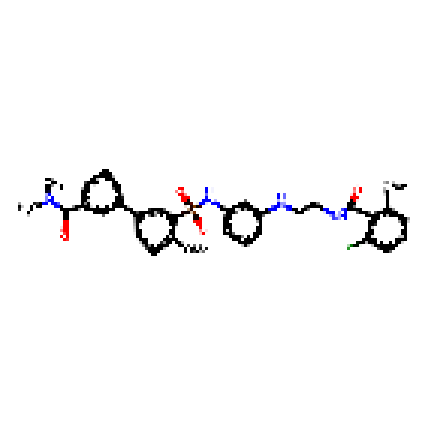 COc1ccc(-c2cccc(C(=O)N(C)C)c2)cc1S(=O)(=O)Nc1cccc(NCCNC(=O)c2c(F)cccc2OC)c1